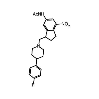 CC(=O)Nc1cc2c(c([N+](=O)[O-])c1)CCC2CN1CCC(c2ccc(F)cc2)CC1